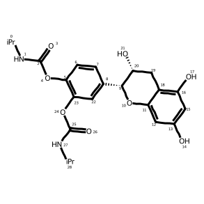 CC(C)NC(=O)Oc1ccc([C@H]2Oc3cc(O)cc(O)c3C[C@H]2O)cc1OC(=O)NC(C)C